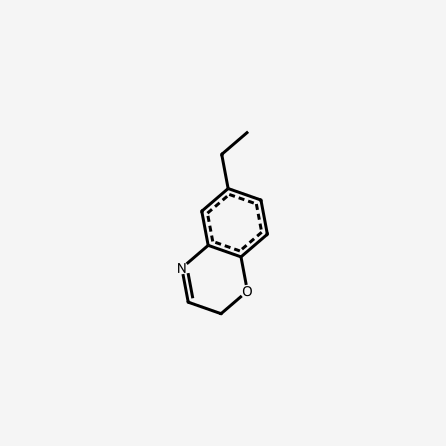 CCc1ccc2c(c1)N=CCO2